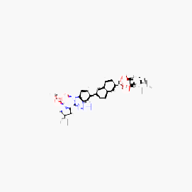 C[C@@H]1C[C@@H](c2nc3ccc(-c4ccc5cc(B6OC(C)(C)C(C)(C)O6)ccc5c4)cc3[nH]2)N(C(=O)OC(C)(C)C)C1